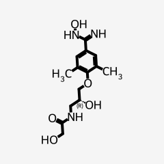 Cc1cc(C(=N)NO)cc(C)c1OC[C@H](O)CNC(=O)CO